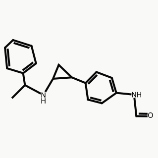 CC(NC1CC1c1ccc(NC=O)cc1)c1ccccc1